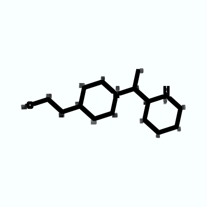 CC(C1CCCCN1)N1CCC(CC[O])CC1